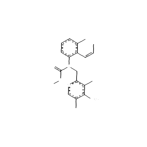 C/C=C\c1c(C)cccc1N(Cc1ncc(C)c(OC)c1C)C(=O)OC(C)(C)C